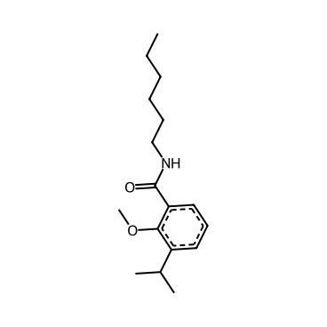 CCCCCCNC(=O)c1cccc(C(C)C)c1OC